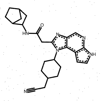 N#CCC1CCC(n2c(CC(=O)NC3CC4CCC3C4)nc3cnc4[nH]ccc4c32)CC1